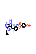 O=C(c1c(F)ccc(NS(=O)(=O)c2ccc(O)c(F)c2)c1F)c1c[nH]c2ncnc(NCC3CC3)c12